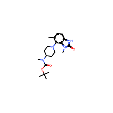 Cc1ccc2[nH]c(=O)n(C)c2c1N1CCC(N(C)C(=O)OC(C)(C)C)CC1